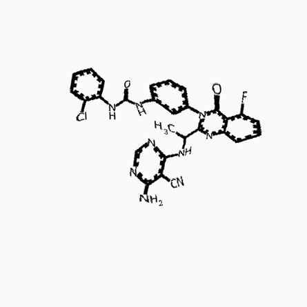 CC(Nc1ncnc(N)c1C#N)c1nc2cccc(F)c2c(=O)n1-c1cccc(NC(=O)Nc2ccccc2Cl)c1